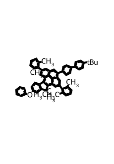 Cc1cccc(C)c1-c1cc2cc(-c3ccc(-c4ccc(C(C)(C)C)cc4)cc3)c3cc(-c4c(C)cccc4C)cc4c5c(c(c1)c2c34)-c1ccc(Oc2ccccc2)cc1C5(C)C